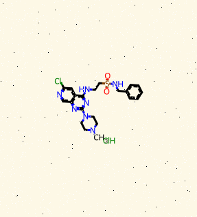 CN1CCN(c2nc(NCCS(=O)(=O)NCc3ccccc3)c3cc(Cl)ncc3n2)CC1.Cl